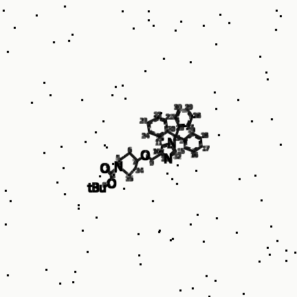 CC(C)(C)OC(=O)N1CCC(OCc2cn(C(c3ccccc3)(c3ccccc3)c3ccccc3)cn2)CC1